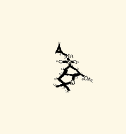 CC(=O)Oc1cc(S(=O)(=O)NC2CC2)cc2c1OC(C)(C)C2